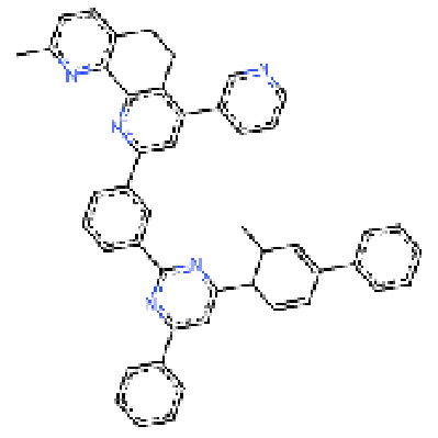 Cc1ccc2c(n1)-c1nc(-c3cccc(-c4nc(-c5ccccc5)cc(C5C=CC(c6ccccc6)=CC5C)n4)c3)cc(-c3cccnc3)c1CC2